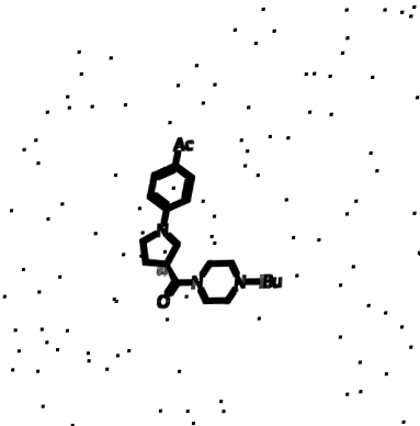 CCC(C)N1CCN(C(=O)[C@H]2CCN(c3ccc(C(C)=O)cc3)C2)CC1